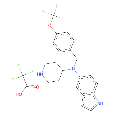 FC(F)(F)Oc1ccc(CN(c2ccc3[nH]ccc3c2)C2CCNCC2)cc1.O=C(O)C(F)(F)F